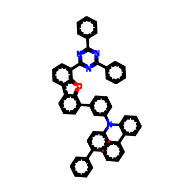 c1ccc(-c2ccc(N(c3cccc(-c4cccc5c4oc4c(-c6nc(-c7ccccc7)nc(-c7ccccc7)n6)cccc45)c3)c3ccccc3-c3ccccc3)cc2)cc1